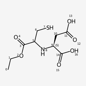 CCOC(=O)C(CS)N[C@@H](CC(=O)O)C(=O)O